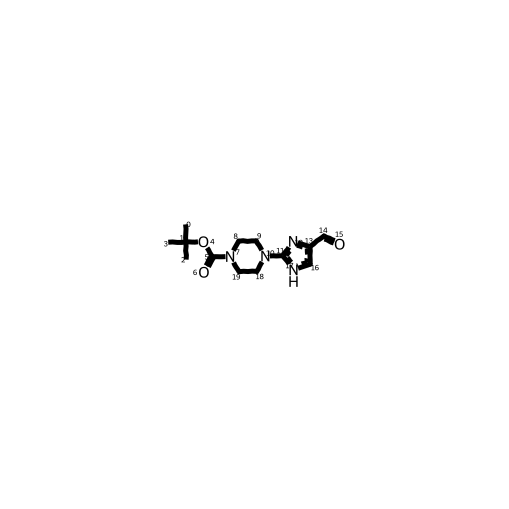 CC(C)(C)OC(=O)N1CCN(c2nc(C=O)c[nH]2)CC1